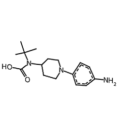 CC(C)(C)N(C(=O)O)C1CCN(c2ccc(N)cc2)CC1